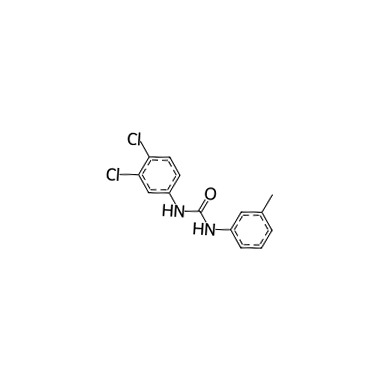 Cc1cccc(NC(=O)Nc2ccc(Cl)c(Cl)c2)c1